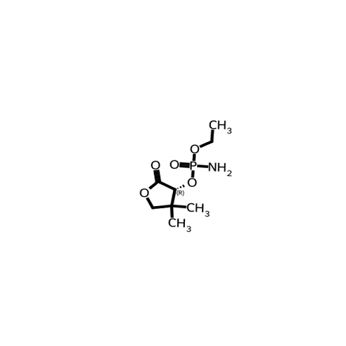 CCOP(N)(=O)O[C@H]1C(=O)OCC1(C)C